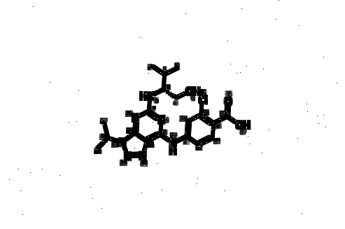 CC(C)[C@H](CO)Nc1nc(Nc2ccc(C(=O)O)c(Cl)c2)c2nnn(C(C)C)c2n1